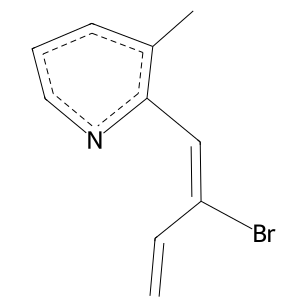 C=C/C(Br)=C\c1ncccc1C